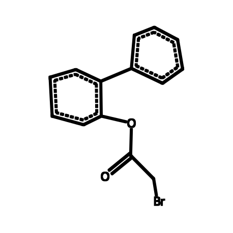 O=C(CBr)Oc1ccccc1-c1ccccc1